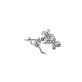 CC[C@H](C)[C@@H]([C@@H](CC(=O)N1CCC[C@H]1[C@H](OC)[C@@H](C)C(=O)N[C@@H](Cc1ccccc1)c1nccs1)OC)N(C)C(=O)[C@@H](NC(=O)[C@H](C(C)C)N(C)C(=O)OCc1ccc(NC(=O)[C@H](CCCCCNC(N)=O)NC(=O)[C@@H](NC(=O)CCOCCON)C(C)C)cc1)C(C)C